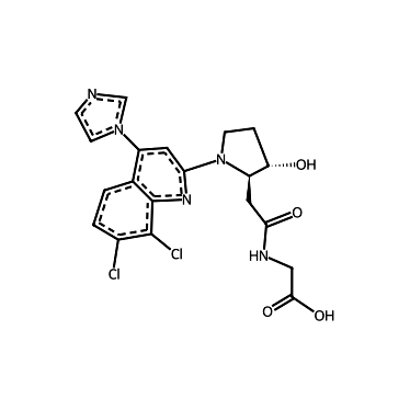 O=C(O)CNC(=O)C[C@@H]1[C@@H](O)CCN1c1cc(-n2ccnc2)c2ccc(Cl)c(Cl)c2n1